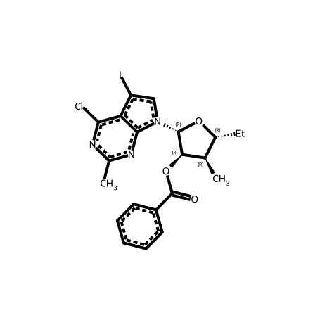 CC[C@H]1O[C@@H](n2cc(I)c3c(Cl)nc(C)nc32)[C@H](OC(=O)c2ccccc2)[C@@H]1C